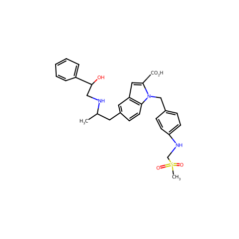 CC(Cc1ccc2c(c1)cc(C(=O)O)n2Cc1ccc(NCS(C)(=O)=O)cc1)NCC(O)c1ccccc1